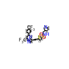 O=S(=O)(NCc1cccnc1)c1ccc(C#Cc2cnn3c(C(F)(F)F)cc(-c4ccc(C(F)(F)F)cc4)nc23)s1